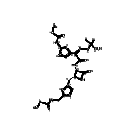 CC(C)(C)OC(=O)NCc1ncn(C[C@H]2NC(=O)[C@H]2NC(=O)/C(=N\OC(C)(C)C(=O)O)c2csc(NC(=O)OC(C)(C)C)n2)n1